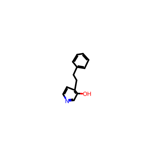 Oc1cnccc1CCc1ccccc1